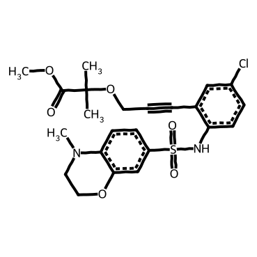 COC(=O)C(C)(C)OCC#Cc1cc(Cl)ccc1NS(=O)(=O)c1ccc2c(c1)OCCN2C